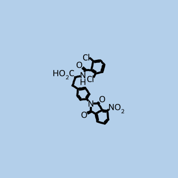 O=C(N[C@@H](Cc1ccc(N2C(=O)c3cccc([N+](=O)[O-])c3C2=O)cc1)C(=O)O)c1c(Cl)cccc1Cl